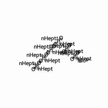 CCCCCCCP(=O)([O-])CCCCCCC.CCCCCCCP(=O)([O-])CCCCCCC.CCCCCCCP(=O)([O-])CCCCCCC.CCCCCCCP(=O)([O-])CCCCCCC.CCCCCCCP(=O)([O-])CCCCCCC.CCCCCCCP(=O)([O-])CCCCCCC.[Mo+6]